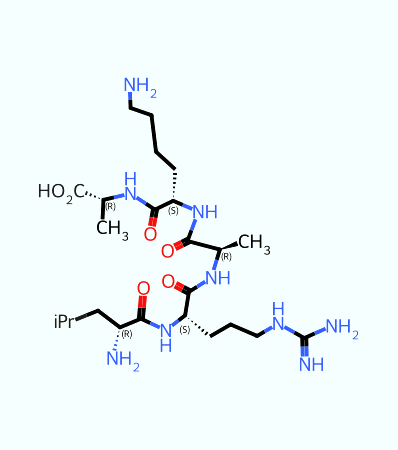 CC(C)C[C@@H](N)C(=O)N[C@@H](CCCNC(=N)N)C(=O)N[C@H](C)C(=O)N[C@@H](CCCCN)C(=O)N[C@H](C)C(=O)O